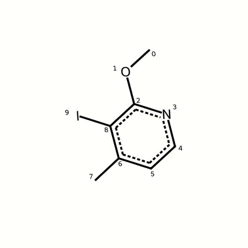 COc1nccc(C)c1I